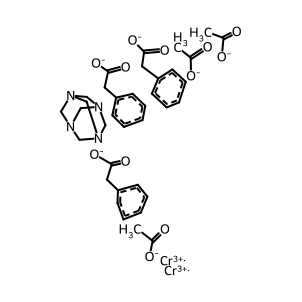 C1N2CN3CN1CN(C2)C3.CC(=O)[O-].CC(=O)[O-].CC(=O)[O-].O=C([O-])Cc1ccccc1.O=C([O-])Cc1ccccc1.O=C([O-])Cc1ccccc1.[Cr+3].[Cr+3]